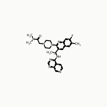 Cc1cc2cc([C@H](C)Nc3ncnc4cnccc34)c(N3CCN(CC(=O)N(C)C)CC3)nc2cc1F